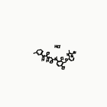 Cc1cccc(NC(=O)NCC(=O)N(C)c2ccc(Cl)c(COc3cccn4c(Br)c(C)nc34)c2Cl)c1.Cl